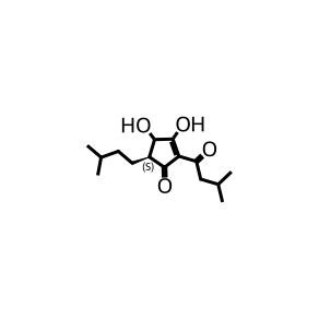 CC(C)CC[C@@H]1C(=O)C(C(=O)CC(C)C)=C(O)C1O